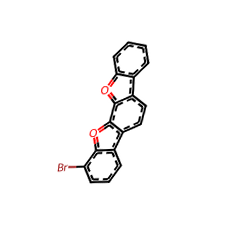 Brc1cccc2c1oc1c2ccc2c3ccccc3oc21